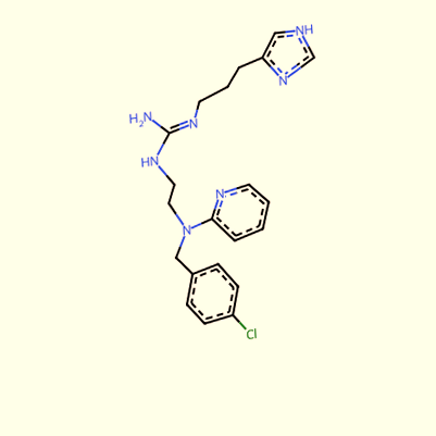 NC(=NCCCc1c[nH]cn1)NCCN(Cc1ccc(Cl)cc1)c1ccccn1